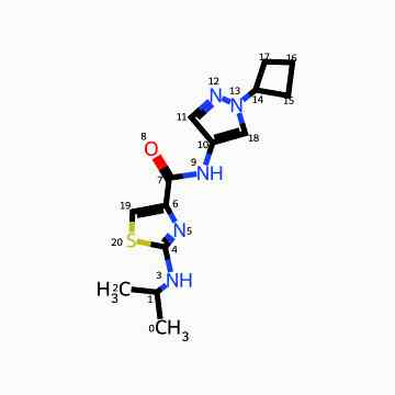 CC(C)Nc1nc(C(=O)Nc2cnn(C3CCC3)c2)cs1